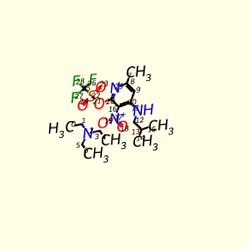 CCN(CC)CC.Cc1cc(NCC(C)C)c([N+](=O)[O-])c(OS(=O)(=O)C(F)(F)F)n1